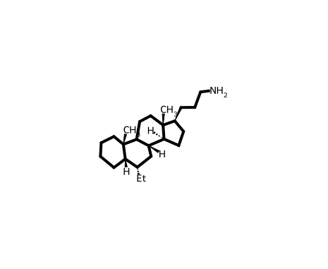 CC[C@H]1C[C@@H]2C(CC[C@]3(C)[C@@H](CCCN)CC[C@@H]23)[C@@]2(C)CCCC[C@@H]12